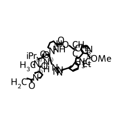 C=CC(=O)N1CC[C@H](C(=O)N(C)[C@H](C(=O)N[C@H]2Cn3nnc(n3)-c3ccc4c(c3)c(c(-c3cccnc3[C@H](C)OC)n4CC)CC(C)(C)COC(=O)[C@@H]3CCCN(N3)C2=O)C(C)C)C1